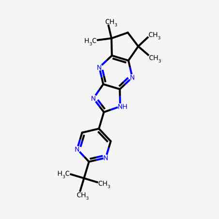 CC(C)(C)c1ncc(-c2nc3nc4c(nc3[nH]2)C(C)(C)CC4(C)C)cn1